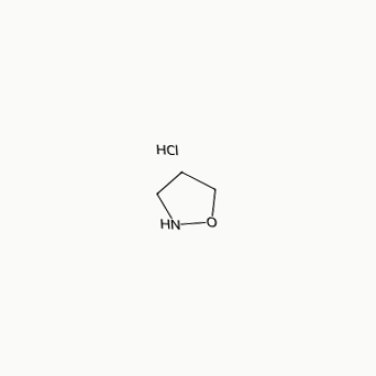 C1CNOC1.Cl